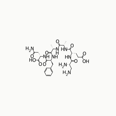 C[C@H](NC(=O)[C@H](C)NC(=O)[C@H](CCC(=O)O)NC(=O)[C@@H](N)CN)C(=O)N[C@@H](Cc1ccccc1)C(=O)N[C@@H](CC(N)=O)C(=O)O